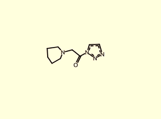 O=C(CN1CCCCC1)n1ccnn1